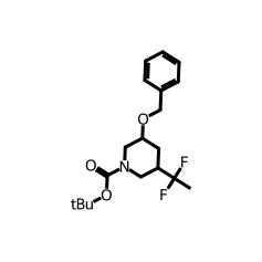 CC(C)(C)OC(=O)N1CC(OCc2ccccc2)CC(C(C)(F)F)C1